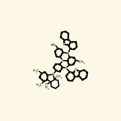 Cc1cc2c3c(c1)N(c1cccc4c1sc1ccccc14)c1cc(C(C)(C)C)ccc1B3c1ccc(N3c4cc(C)cc(C)c4C4(C)CCCCC34C)cc1N2c1cccc2c1oc1ccccc12